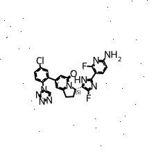 Nc1ccc(-c2nc(F)c([C@@H]3CCc4cc(-c5cc(Cl)ccc5-n5cnnn5)cc(=O)n43)[nH]2)c(F)n1